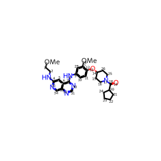 COCCNc1cc2c(Nc3ccc(OC4CCN(C(=O)C5CCCC5)CC4)c(OC)c3)ncnc2cn1